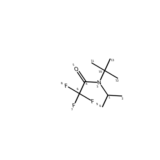 CC(C)N(C(=O)C(F)(F)F)C(C)(C)C